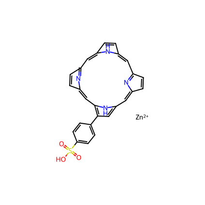 O=S(=O)(O)c1ccc(-c2cc3cc4nc(cc5ccc(cc6nc(cc2[nH]3)C=C6)[nH]5)C=C4)cc1.[Zn+2]